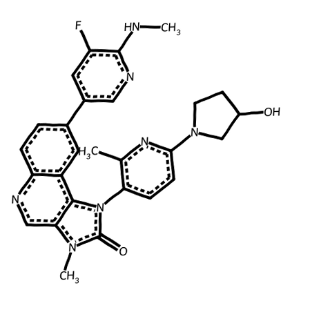 CNc1ncc(-c2ccc3ncc4c(c3c2)n(-c2ccc(N3CCC(O)C3)nc2C)c(=O)n4C)cc1F